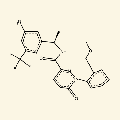 COCc1ccccc1-n1nc(C(=O)N[C@H](C)c2cc(N)cc(C(F)(F)F)c2)ccc1=O